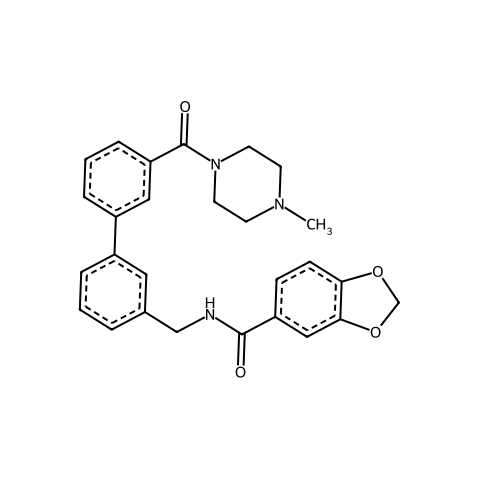 CN1CCN(C(=O)c2cccc(-c3cccc(CNC(=O)c4ccc5c(c4)OCO5)c3)c2)CC1